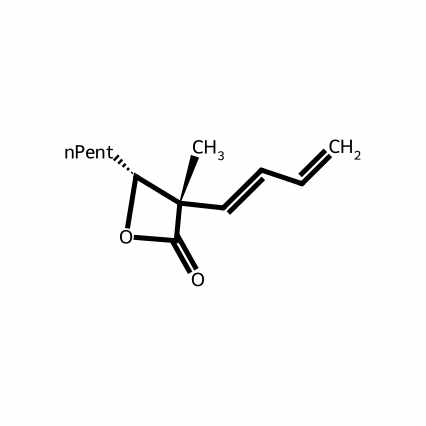 C=C/C=C/[C@]1(C)C(=O)O[C@@H]1CCCCC